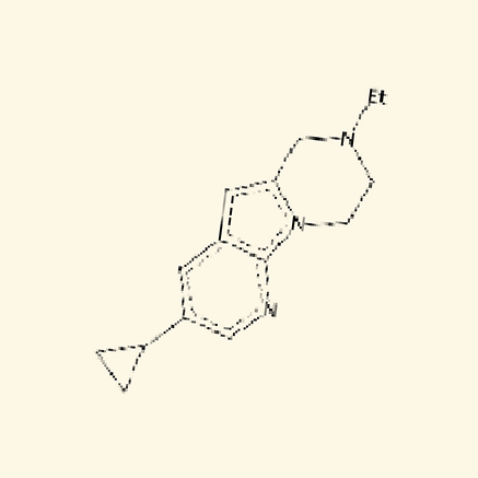 CCN1CCn2c(cc3cc(C4CC4)cnc32)C1